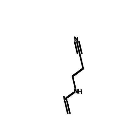 C=NNCCC#N